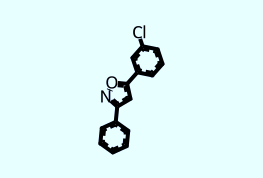 Clc1cccc(-c2cc(-c3ccccc3)no2)c1